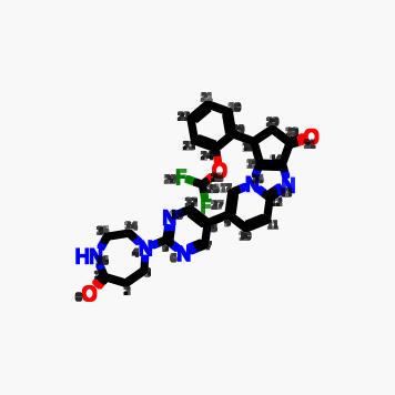 O=C1CCN(c2ncc(-c3ccc4nc5c(n4c3)C(c3ccccc3OC(F)F)CC5=O)cn2)CCN1